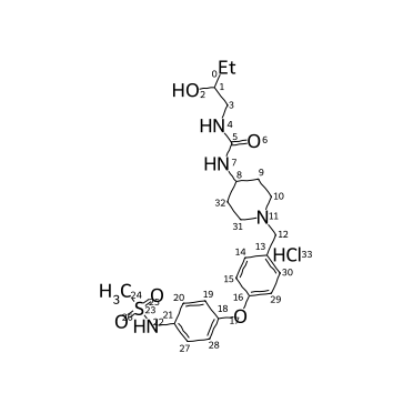 CCC(O)CNC(=O)NC1CCN(Cc2ccc(Oc3ccc(NS(C)(=O)=O)cc3)cc2)CC1.Cl